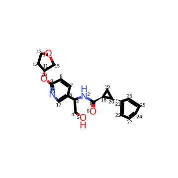 O=C(NC(CO)c1ccc(O[C@H]2CCOC2)nc1)[C@H]1C[C@@H]1c1ccccc1